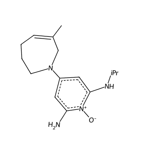 CC1=CCCCN(c2cc(N)[n+]([O-])c(NC(C)C)c2)C1